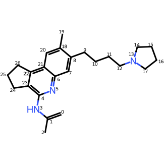 C=C(C)Nc1nc2cc(CCCCN3CCCC3)c(C)cc2c2c1CCC2